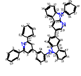 c1ccc(-c2cc(-c3cccc(-n4c5ccccc5c5cc(-c6cnc7c(c6)c6ccccc6n7-c6ccccc6)ccc54)c3)cc(-c3ccccc3)n2)cc1